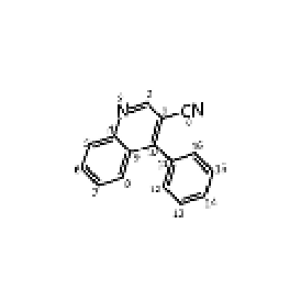 N#Cc1cnc2ccccc2c1-c1ccccc1